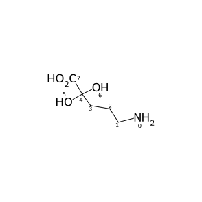 NCCCC(O)(O)C(=O)O